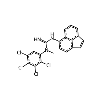 CN(C(=N)Nc1ccc2c3c(cccc13)C=C2)c1cc(Cl)c(Cl)c(Cl)c1Cl